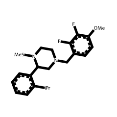 COc1ccc(CN2CCN(SC)C(c3ccccc3C(C)C)C2)c(F)c1F